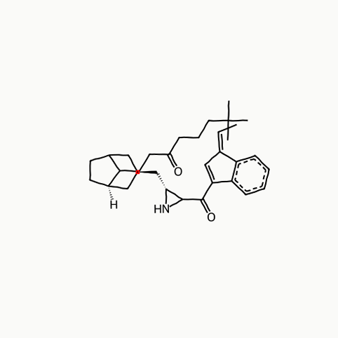 C/C=C1/C=C(C(=O)C2N[C@@H]2C[C@@H]2CC3CC[C@H](C2)C3CCC(=O)CCCC(C)(C)C)c2ccccc21